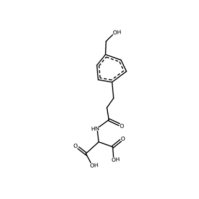 O=C(CCc1ccc(CO)cc1)NC(C(=O)O)C(=O)O